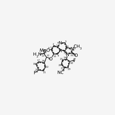 COc1cc2ncc3c(c2cc1OC(C(N)=O)c1ccc(F)cc1)n(-c1ccc(C#N)cc1F)c(=O)n3C